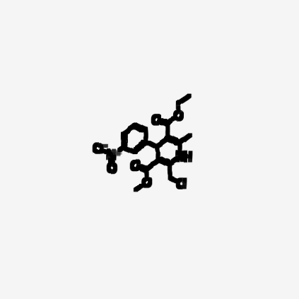 CCOC(=O)C1=C(C)NC(CCl)=C(C(=O)OC)C1c1cccc([N+](=O)[O-])c1